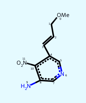 COCC=Cc1cncc(N)c1[N+](=O)[O-]